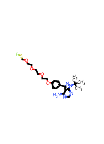 CC(C)(C)n1nc(-c2ccc(OCCOCCOCCOCSF)cc2)c2c(N)ncnc21